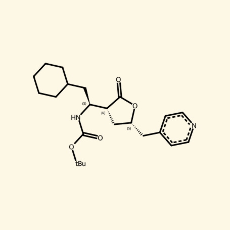 CC(C)(C)OC(=O)N[C@@H](CC1CCCCC1)[C@H]1C[C@@H](Cc2ccncc2)OC1=O